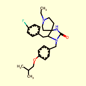 CCN1CCC2(CC1)NC(=O)N(Cc1ccc(OCC(C)C)cc1)C2Cc1ccc(F)cc1